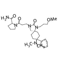 COCCCN1C(=O)N(CCC(=O)N2CCCC2C(N)=O)C[C@]12CC[C@](c1ccccc1)(N(C)C)CC2